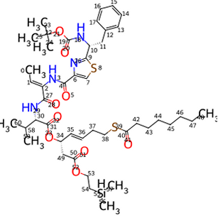 C/C=C(\NC(=O)c1csc([C@@H](Cc2ccccc2)NC(=O)OC(C)(C)C)n1)C(=O)N[C@H](C(=O)O[C@H](/C=C/CCSC(=O)CCCCCCC)CC(=O)OCC[SiH](C)C)C(C)C